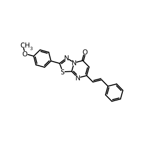 COc1ccc(-c2nn3c(=O)cc(/C=C/c4ccccc4)nc3s2)cc1